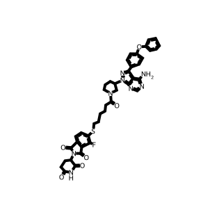 Nc1ncnc2c1c(-c1ccc(Oc3ccccc3)cc1)nn2C1CCCN(C(=O)CCCCCSc2ccc3c(c2F)C(=O)N(C2CCC(=O)NC2=O)C3=O)C1